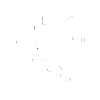 CCC(=O)c1cnc(Nc2ccc(CN(C)C)c(C(F)(F)F)n2)cc1Nc1cccc(-c2ncn(C)n2)c1OC